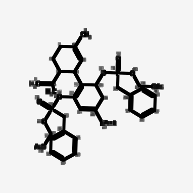 C=C(C)C1CCC(C)=CC1C1=C(OP(=O)(Cc2ccccc2)OCOC(C)=O)C=C(CCCCC)CC1OP(=O)(Cc1ccccc1)OCOC(C)=O